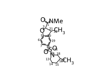 CNC(=O)C1Oc2ccc(S(=O)(=O)N3CCCC(C)C3)cc2C1C